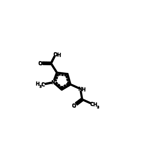 CC(=O)Nc1cc(C(=O)O)n(C)c1